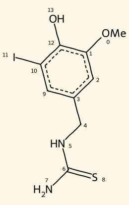 COc1cc(CNC(N)=S)cc(I)c1O